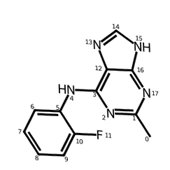 Cc1nc(Nc2ccccc2F)c2nc[nH]c2n1